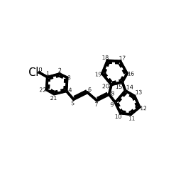 Clc1ccc(/C=C/C=C2c3ccccc3-c3ccccc32)cc1